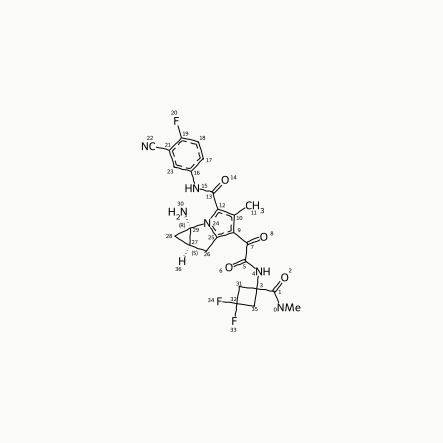 CNC(=O)C1(NC(=O)C(=O)c2c(C)c(C(=O)Nc3ccc(F)c(C#N)c3)n3c2C[C@H]2C[C@]23N)CC(F)(F)C1